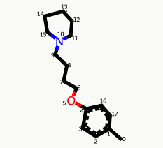 Cc1ccc(OCCCCN2CC[CH]CC2)cc1